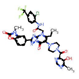 CCc1c(N2CCN(C(=O)c3ncnc(C)c3O)CC2)c(=O)n2nc(-c3ccc4oc(=O)n(C)c4c3)nc2n1CC(=O)Nc1ccc(C(F)(F)F)cc1Cl